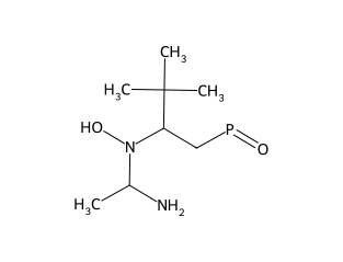 CC(N)N(O)C(CP=O)C(C)(C)C